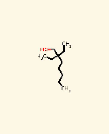 CCCCCC(CC)(CC)CO